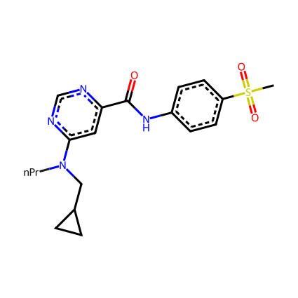 CCCN(CC1CC1)c1cc(C(=O)Nc2ccc(S(C)(=O)=O)cc2)ncn1